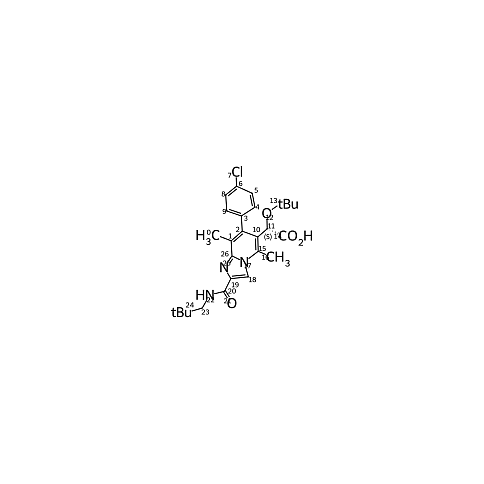 Cc1c(-c2ccc(Cl)cc2)c([C@H](OC(C)(C)C)C(=O)O)c(C)n2cc(C(=O)NCC(C)(C)C)nc12